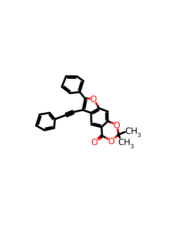 CC1(C)OC(=O)c2cc3c(C#Cc4ccccc4)c(-c4ccccc4)oc3cc2O1